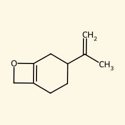 C=C(C)C1CCC2=C(C1)OC2